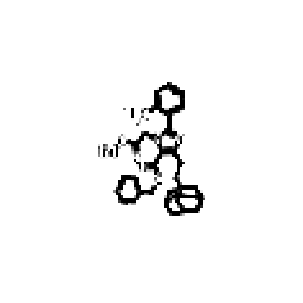 Cc1ccccc1-c1nc(CCC23CC4CC(CC(C4)C2)C3)c(C(=O)OCc2ccccc2)n1CC(=O)OC(C)(C)C